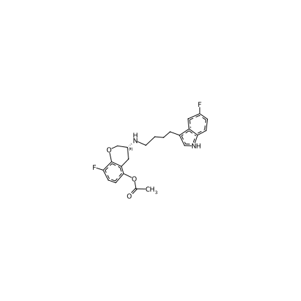 CC(=O)Oc1ccc(F)c2c1C[C@@H](NCCCCc1c[nH]c3ccc(F)cc13)CO2